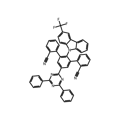 N#Cc1ccccc1-c1cc(-c2nc(-c3ccccc3)nc(-c3ccccc3)n2)cc(-c2ccccc2C#N)c1-n1c2ccccc2c2cc(C(F)(F)F)ccc21